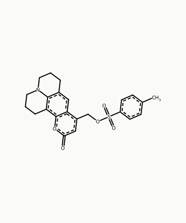 Cc1ccc(S(=O)(=O)OCc2cc(=O)oc3c4c5c(cc23)CCCN5CCC4)cc1